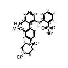 CCN1CCP(=O)(c2ccc(-c3c(Nc4ccccc4S(=O)(=O)C(C)C)cnnc3N)c(OC)c2)CC1